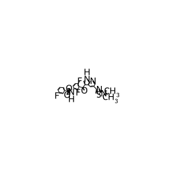 CN(C)c1nc(-c2cnc3[nH]cc(C(=O)c4c(F)ccc(NS(=O)(=O)c5cccc(F)c5)c4F)c3c2)cs1